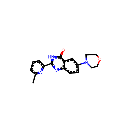 Cc1cccc(-c2nc3ccc(N4CCOCC4)cc3c(=O)[nH]2)n1